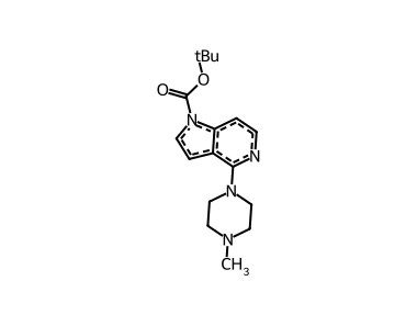 CN1CCN(c2nccc3c2ccn3C(=O)OC(C)(C)C)CC1